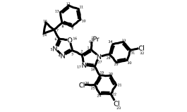 CC(C)c1c(-c2nnc(C3(c4ccccc4)CC3)o2)nc(-c2ccc(Cl)cc2Cl)n1-c1ccc(Cl)cc1